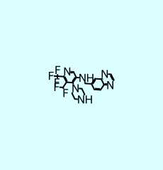 FC(F)c1c(C(F)(F)F)ncc(NCc2ccc3nccnc3c2)c1N1CCNCC1